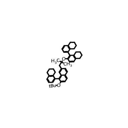 CC(C)(C)Oc1ccc2ccc(CC(C)(C)Oc3ccc4c(c3-c3cccc5c3CCCC5)CCCC4)cc2c1-c1cccc2c1CCCC2